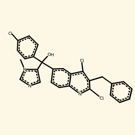 Cn1cncc1C(O)(c1ccc(Cl)cc1)c1ccc2nc(Cl)c(Cc3ccccc3)c(Cl)c2c1